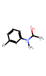 CCc1cccc(N(C)C(C)O)c1